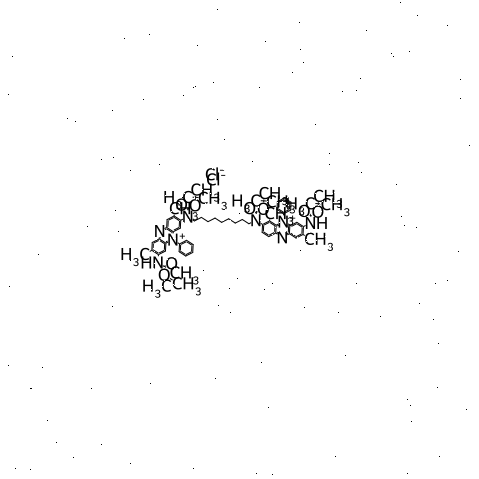 Cc1cc2nc3cc(C)c(N(CCCCCCCCCN(C(=O)OC(C)(C)C)c4ccc5nc6cc(C)c(NC(=O)OC(C)(C)C)cc6[n+](-c6ccccc6)c5c4C)C(=O)OC(C)(C)C)cc3[n+](-c3ccccc3)c2cc1NC(=O)OC(C)(C)C.[Cl-].[Cl-]